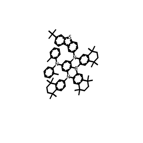 Cc1ccccc1N(c1cc2c3c(c1)N(c1ccc4sc5cc(C(C)(C)C)ccc5c4c1)c1cc4c(cc1B3c1cc3c(cc1N2c1ccc2c(c1)C(C)(C)CCC2(C)C)C(C)(C)CCC3(C)C)C(C)(C)CCC4(C)C)c1ccccc1C